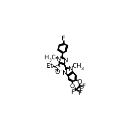 CC[S+]([O-])c1c(-c2nc3cc4c(cc3n2C)OC(F)(F)C(F)(F)O4)nc(-c2ccc(F)cc2)n1C